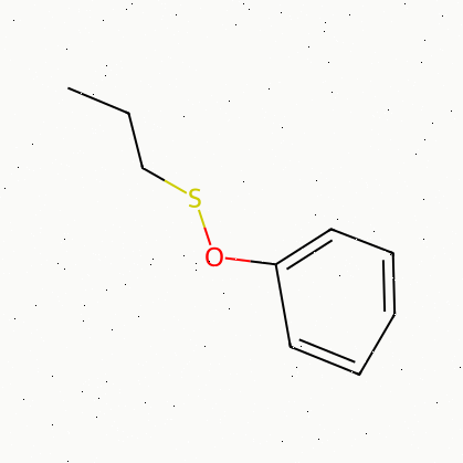 CCCSOc1ccccc1